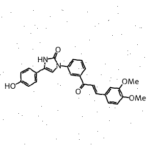 COc1ccc(C=CC(=O)c2cccc(-n3cc(-c4ccc(O)cc4)[nH]c3=O)c2)cc1OC